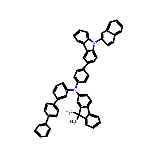 CC1(C)c2ccccc2-c2ccc(N(c3ccc(-c4ccc5c(c4)c4ccccc4n5-c4ccc5ccccc5c4)cc3)c3cccc(-c4ccc(-c5ccccc5)cc4)c3)cc21